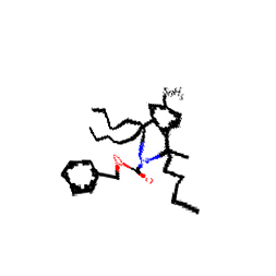 CCCCC1(C)c2cc[c]([SnH3])cc2C(CCCC)(CCCC)N1C(=O)OCc1ccccc1